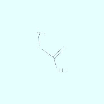 O=CC(=O)ON=O